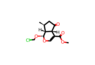 COC(=O)C1=CO[C@@H](OCCl)[C@H]2[C@@H]1C(=O)C[C@@H]2C